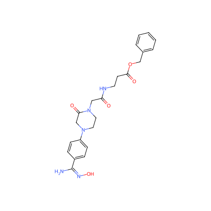 N/C(=N/O)c1ccc(N2CCN(CC(=O)NCCC(=O)OCc3ccccc3)C(=O)C2)cc1